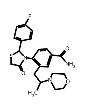 CC(Cc1cc(C(N)=O)ccc1N1C(=O)CSC1c1ccc(F)cc1)N1CCOCC1